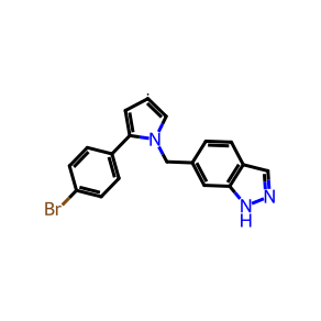 Brc1ccc(-c2c[c]cn2Cc2ccc3cn[nH]c3c2)cc1